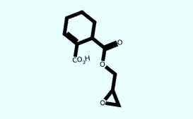 O=C(O)C1=CCCCC1C(=O)OCC1CO1